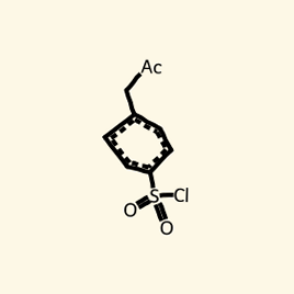 CC(=O)Cc1ccc(S(=O)(=O)Cl)cc1